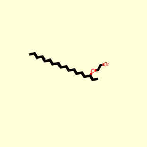 CCCCCCCCCCCCCCCC(CC)OCCBr